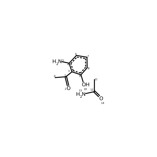 CC(=O)c1c(N)cccc1O.CC(N)=O